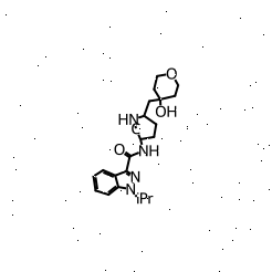 CC(C)n1nc(C(=O)NC2CCC(CC3(O)CCOCC3)NC2)c2ccccc21